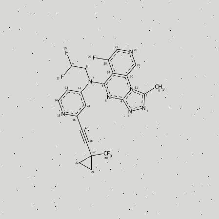 Cc1nnc2nc(N(CC(F)F)c3ccnc(C#CC4(C(F)(F)F)CC4)c3)c3c(F)cncc3n12